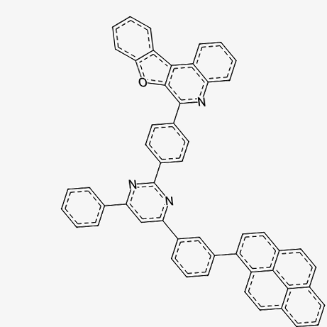 c1ccc(-c2cc(-c3cccc(-c4ccc5ccc6cccc7ccc4c5c67)c3)nc(-c3ccc(-c4nc5ccccc5c5c4oc4ccccc45)cc3)n2)cc1